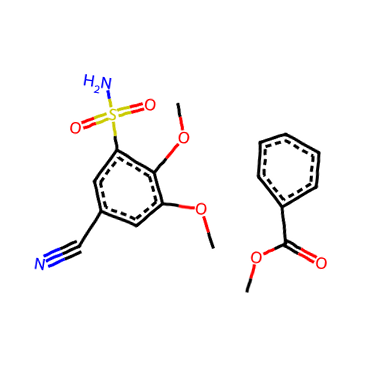 COC(=O)c1ccccc1.COc1cc(C#N)cc(S(N)(=O)=O)c1OC